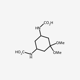 COC1(OC)CC(NC(=O)O)CC(NC(=O)O)C1